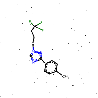 Cc1ccc(-c2ncn(CCCC(F)(F)F)n2)cc1